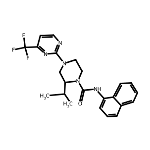 CC(C)C1CN(c2nccc(C(F)(F)F)n2)CCN1C(=O)Nc1cccc2ccccc12